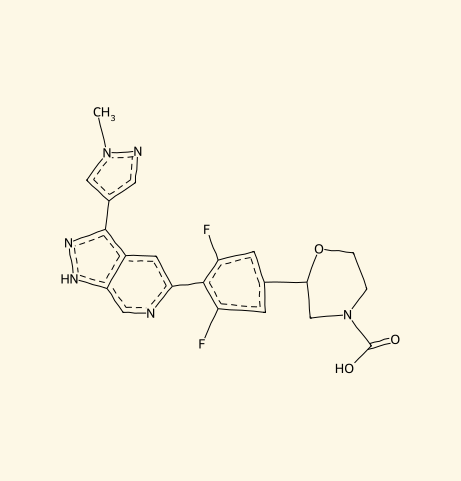 Cn1cc(-c2n[nH]c3cnc(-c4c(F)cc(C5CN(C(=O)O)CCO5)cc4F)cc23)cn1